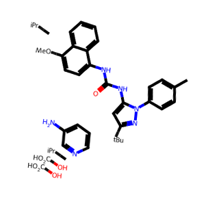 CC(C)C.CC(C)C.COc1ccc(NC(=O)Nc2cc(C(C)(C)C)nn2-c2ccc(C)cc2)c2ccccc12.Nc1cccnc1.O=C(O)O.O=C(O)O